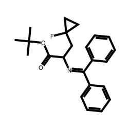 CC(C)(C)OC(=O)C(CC1(F)CC1)N=C(c1ccccc1)c1ccccc1